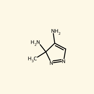 CC1(N)N=NC=C1N